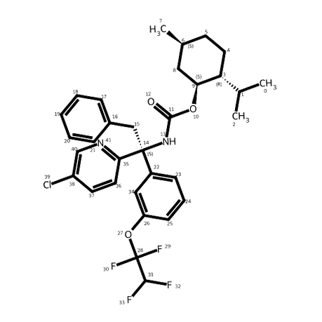 CC(C)[C@H]1CC[C@H](C)C[C@@H]1OC(=O)N[C@@](Cc1ccccc1)(c1cccc(OC(F)(F)C(F)F)c1)c1ccc(Cl)cn1